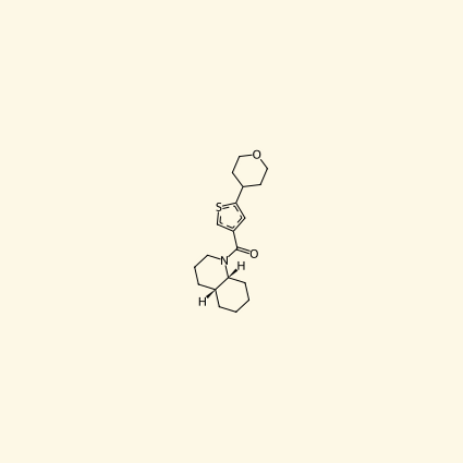 O=C(c1csc(C2CCOCC2)c1)N1CCC[C@H]2CCCC[C@H]21